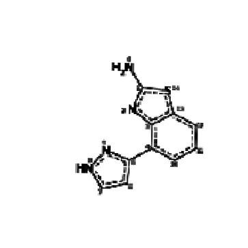 Nc1nc2c(-c3cc[nH]n3)cccc2s1